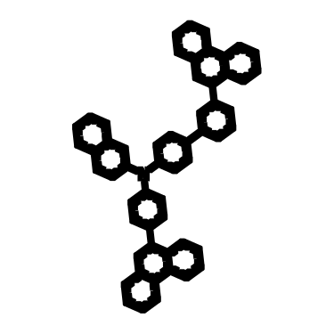 c1cc(-c2ccc(N(c3ccc(-c4cc5ccccc5c5ccccc45)cc3)c3ccc4ccccc4c3)cc2)cc(-c2cc3ccccc3c3ccccc23)c1